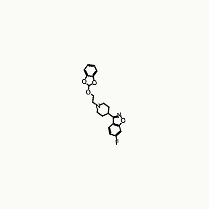 Fc1ccc2c(C3CCN(CCOC4Oc5ccccc5O4)CC3)noc2c1